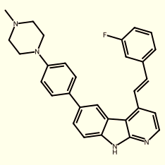 CN1CCN(c2ccc(-c3ccc4[nH]c5nccc(C=Cc6cccc(F)c6)c5c4c3)cc2)CC1